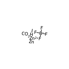 CC(=O)O.F[B-](F)(F)F.[Zn+2].[Zn]